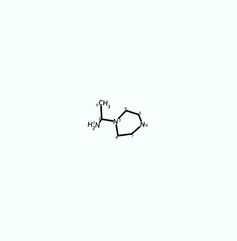 CC(N)N1CC[N]CC1